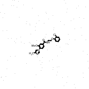 COc1cc(C(=O)NCCOc2ccccc2Cl)ccc1-n1cnc(C)c1